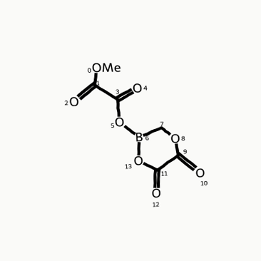 COC(=O)C(=O)OB1COC(=O)C(=O)O1